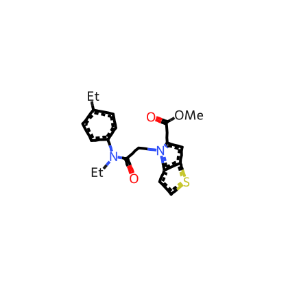 CCc1ccc(N(CC)C(=O)Cn2c(C(=O)OC)cc3sccc32)cc1